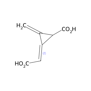 C=C1/C(=C\C(=O)O)C1C(=O)O